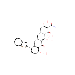 NC(=O)C1=C(O)C[C@@H]2CC3Cc4c(-c5cc6ccccc6s5)ccc(O)c4C(=O)C3=C(O)[C@]2(O)C1=O